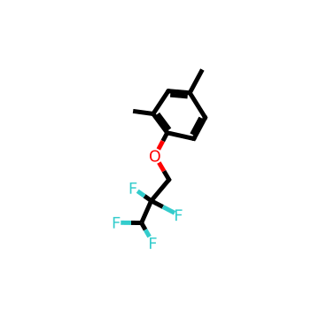 Cc1ccc(OCC(F)(F)C(F)F)c(C)c1